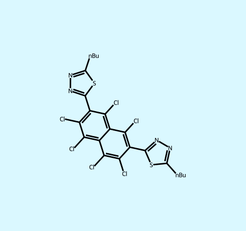 CCCCc1nnc(-c2c(Cl)c(Cl)c3c(Cl)c(Cl)c(-c4nnc(CCCC)s4)c(Cl)c3c2Cl)s1